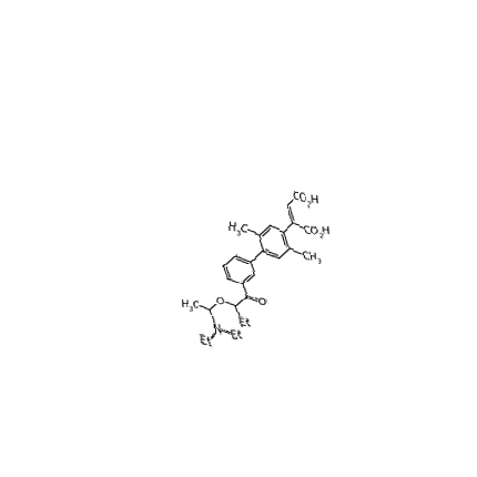 CCC(OC(C)N(CC)CC)C(=O)c1cccc(-c2cc(C)c(/C(=C/C(=O)O)C(=O)O)cc2C)c1